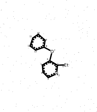 C[CH]c1ncccc1Oc1ccccc1